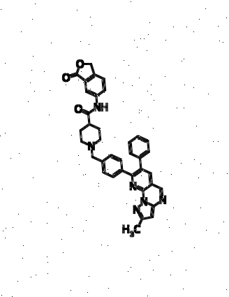 Cc1cc2ncc3cc(-c4ccccc4)c(-c4ccc(CN5CCC(C(=O)Nc6ccc7c(c6)C(=O)OC7)CC5)cc4)nc3n2n1